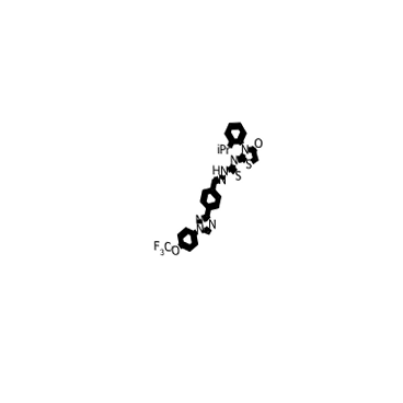 CC(C)c1ccccc1N1C(=O)CS/C1=N\C(=S)N/N=C/c1ccc(-c2ncn(-c3ccc(OC(F)(F)F)cc3)n2)cc1